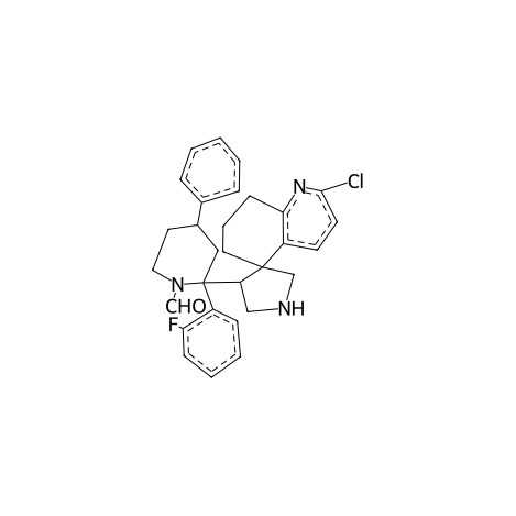 O=CN1CCC(c2ccccc2)CC1(c1ccccc1F)C1CNCC12CCCc1nc(Cl)ccc12